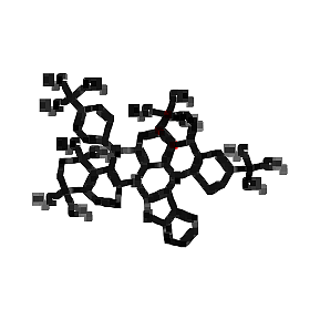 CC(C)(C)c1ccc(N2c3cc(C(C)(C)C)cc4c3B(c3ccc5c(c32)C(C)(C)CCC5(C)C)c2sc3ccccc3c2N4c2ccc(C(C)(C)C)cc2-c2ccccc2)cc1